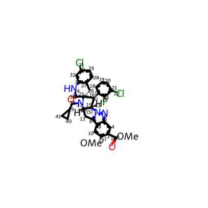 COC(=O)c1cc2nn3c(c2cc1OC)C[C@H]1[C@@H]3[C@H](c2cccc(Cl)c2F)[C@@]2(Cc3ccc(Cl)cc3NC2=O)N1CC1CC1